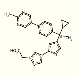 C[C@](c1ccc(-c2cnc(N)nc2)cc1)(C1CC1)n1cnc(-c2cnn(CC(=O)O)c2)c1